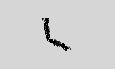 O=S(=O)(Oc1ccc(C(F)(F)C(F)(F)C(F)(F)C(F)(F)C(F)(F)c2ccc(Oc3ccc(C(F)(F)C(F)(F)C(F)(F)C(F)(F)C(F)(F)c4ccc(OS(=O)(=O)C(F)(F)F)cc4)cc3)cc2)cc1)C(F)(F)F